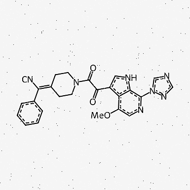 [C-]#[N+]C(=C1CCN(C(=O)C(=O)c2c[nH]c3c(-n4cncn4)ncc(OC)c23)CC1)c1ccccc1